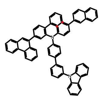 c1ccc(-c2ccc(-c3cc4ccccc4c4ccccc34)cc2N(c2ccc(-c3cccc(-n4c5ccccc5c5ccccc54)c3)cc2)c2ccc(-c3ccc4ccccc4c3)cc2)cc1